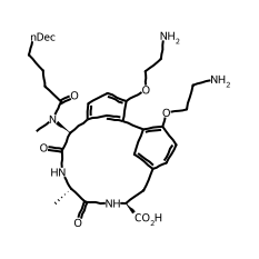 CCCCCCCCCCCCCC(=O)N(C)[C@@H]1C(=O)N[C@@H](C)C(=O)N[C@H](C(=O)O)Cc2ccc(OCCN)c(c2)-c2cc1ccc2OCCN